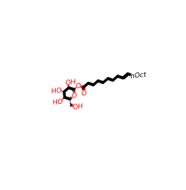 CCCCCCCCC=CCCCCCCCC(=O)O[C@H]1O[C@H](CO)[C@@H](O)[C@H](O)[C@H]1O